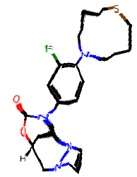 O=C1O[C@H]2Cn3ccn3C2N1c1ccc(N2CCCSCCC2)c(F)c1